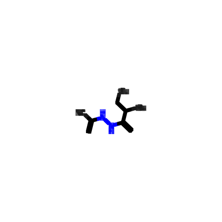 C=C(C#N)NNC(=C)C(CC(C)(C)C)C(C)(C)C